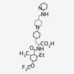 CCc1cc(OC(F)(F)F)cc(C)c1C(=O)NC(Cc1ccc(N2CCC(CNc3ccccn3)CC2)cc1)C(=O)O